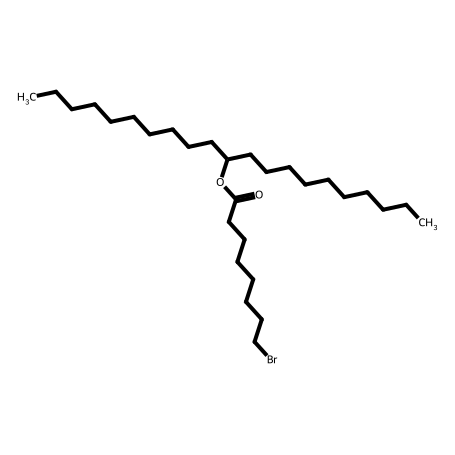 CCCCCCCCCCC(CCCCCCCCCC)OC(=O)CCCCCCCBr